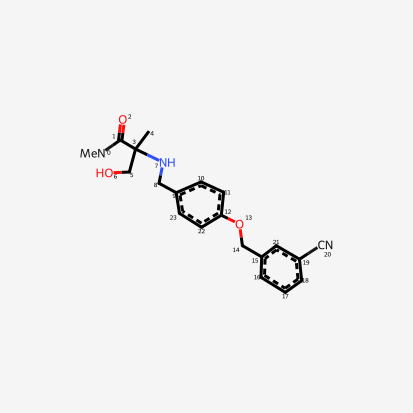 CNC(=O)C(C)(CO)NCc1ccc(OCc2cccc(C#N)c2)cc1